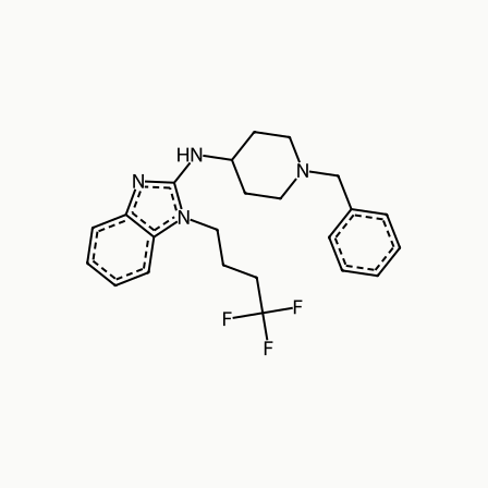 FC(F)(F)CCCn1c(NC2CCN(Cc3ccccc3)CC2)nc2ccccc21